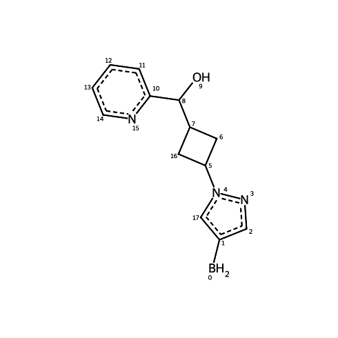 Bc1cnn(C2CC(C(O)c3ccccn3)C2)c1